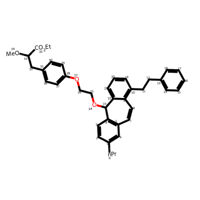 CCCc1ccc2c(c1)C=Cc1c(CCc3ccccc3)cccc1C2OCCOc1ccc(CC(OC)C(=O)OCC)cc1